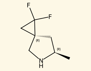 C[C@@H]1C[C@]2(CN1)CC2(F)F